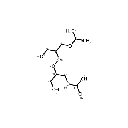 CC(C)OCC(CO)OOC(CO)COC(C)C